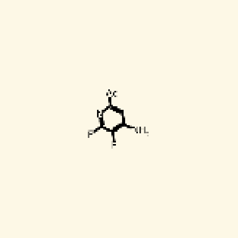 CC(=O)c1cc(N)c(F)c(F)n1